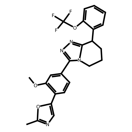 COc1cc(-c2nnc3n2CCCC3c2ccccc2OC(F)(F)F)ccc1-c1cnc(C)o1